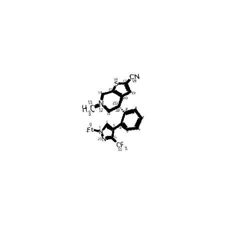 CCn1cc(-c2ccccc2[C@@H]2CN(C)Cc3sc(C#N)cc32)c(C(F)(F)F)n1